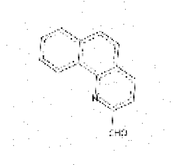 O=Cc1ccc2ccc3ccccc3c2n1